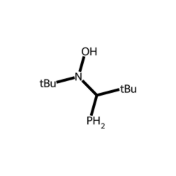 CC(C)(C)C(P)N(O)C(C)(C)C